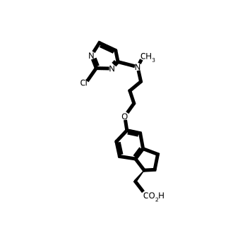 CN(CCCOc1ccc2c(c1)CC[C@H]2CC(=O)O)c1ccnc(Cl)n1